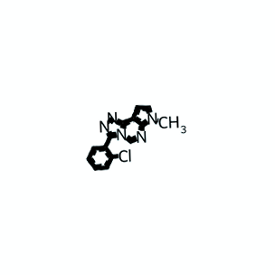 Cn1ccc2c1ncn1c(-c3ccccc3Cl)nnc21